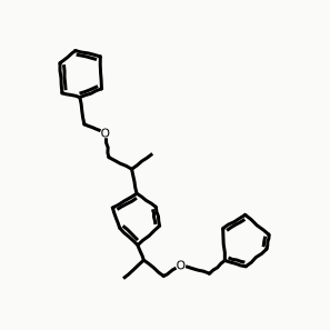 CC(COCc1ccccc1)c1ccc(C(C)COCc2ccccc2)cc1